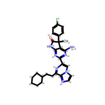 CC1(c2ccc(F)cc2)C(=O)Nc2nc(-c3cn4ccnc4c(CCC4CCCCC4)n3)nc(N)c21